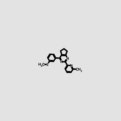 CSc1cccc(-c2nc(-c3cccc(C)n3)nc3c2CCC3)c1